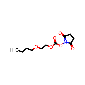 CCCCOCCOC(=O)ON1C(=O)CCC1=O